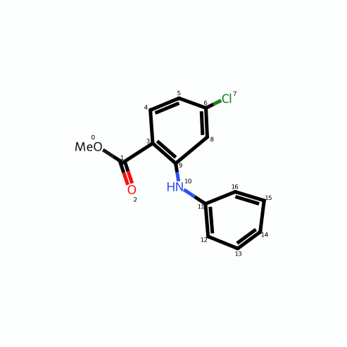 COC(=O)c1ccc(Cl)cc1Nc1ccccc1